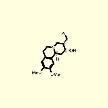 COc1cc2c(cc1OC)[C@@H]1C[C@@H](O)[C@H](CC(C)C)CN1CC2